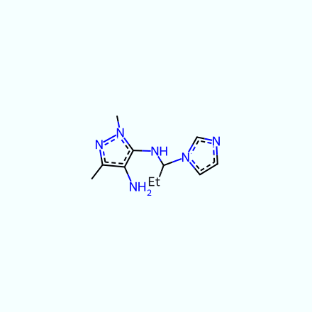 CCC(Nc1c(N)c(C)nn1C)n1ccnc1